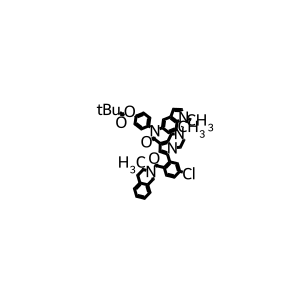 C[C@@H]1Cc2ccccc2CN1C(=O)c1ccc(Cl)cc1-c1cc(C(=O)N(c2ccc(OC(=O)C(C)(C)C)cc2)c2ccc3c(ccn3C)c2)c2n1CCN(C)C2